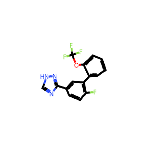 Fc1ccc(-c2nc[nH]n2)cc1-c1ccccc1OC(F)(F)F